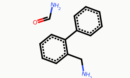 NC=O.NCc1ccccc1-c1ccccc1